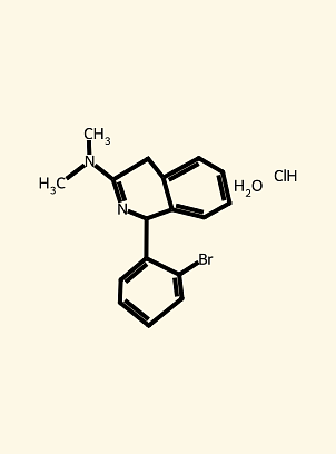 CN(C)C1=NC(c2ccccc2Br)c2ccccc2C1.Cl.O